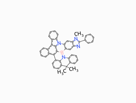 Cn1c(-c2ccccc2)nc2cc3c(cc21)-n1c2ccccc2c2c4ccccc4c4c(c21)B3N1c2ccccc2C(C)(C)c2cccc-4c21